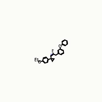 CCOc1ccc(C2(/C=C(/F)Cc3cccc(Oc4ccccc4)c3)CC2)cc1